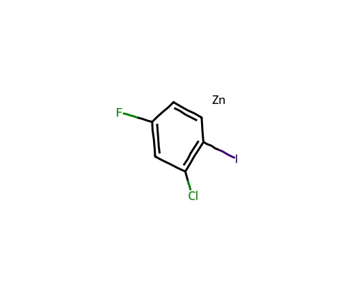 Fc1ccc(I)c(Cl)c1.[Zn]